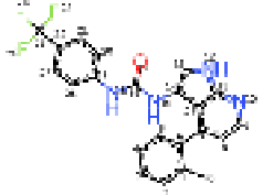 Cc1ccccc1-c1ccnc2[nH]cc(NC(=O)Nc3ccc(C(F)(F)F)cc3)c12